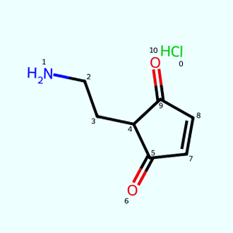 Cl.NCCC1C(=O)C=CC1=O